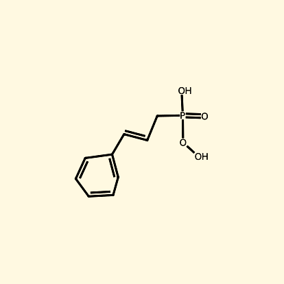 O=P(O)(CC=Cc1ccccc1)OO